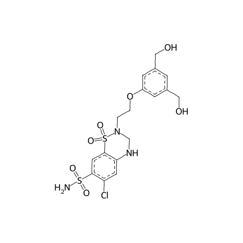 NS(=O)(=O)c1cc2c(cc1Cl)NCN(CCOc1cc(CO)cc(CO)c1)S2(=O)=O